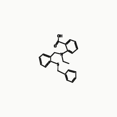 CCN(Cc1ccccc1SCc1ccccc1)c1ccccc1C(=O)O